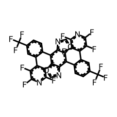 Fc1nc(F)c(F)c(-c2cc(C(F)(F)F)ccc2-c2c3ncoc3c(-c3ccc(C(F)(F)F)cc3-c3c(F)c(F)nc(F)c3F)c3ncoc23)c1F